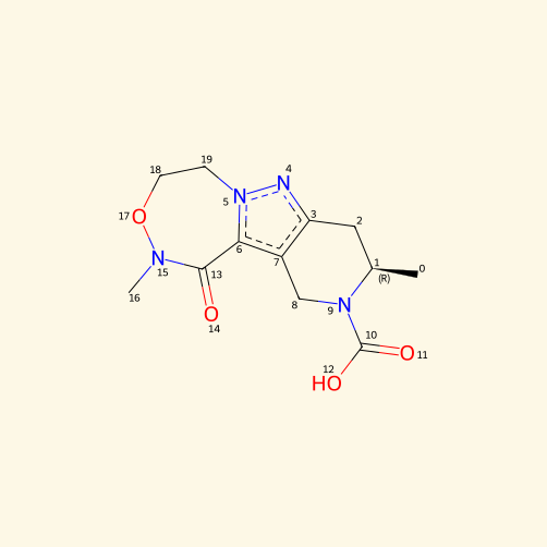 C[C@@H]1Cc2nn3c(c2CN1C(=O)O)C(=O)N(C)OCC3